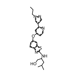 CCCn1cc(-c2cc(Oc3ccc4nc(NC(CO)CC(C)C)sc4c3)ccn2)cn1